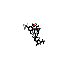 CCC1(N(Cc2cc(C(F)(F)F)cc(C(F)(F)F)c2)Cc2cc3c(C)nn(C(C)(C)C)c3nc2N(CC2CC2)CC2CC2)N=CC(C(=O)O)=CN1